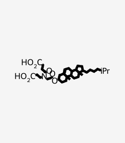 CC(C)CCCCC1CCC2C3CC=C4CC(OC(=O)CN(CCC(=O)O)C(=O)CCC(=O)O)CCC4(C)C3CCC12C